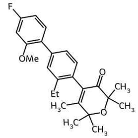 CCc1cc(-c2ccc(F)cc2OC)ccc1C1=C(C)C(C)(C)OC(C)(C)C1=O